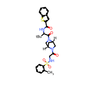 Cc1ccccc1S(=O)(=O)NCC(=O)N1C[C@@H]2C[C@H]1CN2C(=O)C(NC(=O)c1cc2ccccc2s1)C(C)(C)C